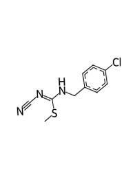 CS/C(=N\C#N)NCc1ccc(Cl)cc1